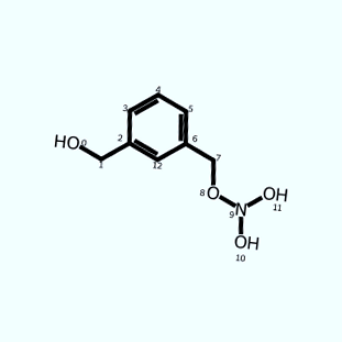 OCc1cccc(CON(O)O)c1